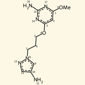 COc1cc(OCCCn2cc(N)cn2)nc(N)n1